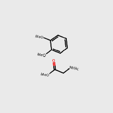 COC(=O)CNC(C)=O.COc1ccccc1OC